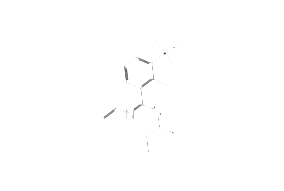 C=C/N=C(/N[C@@H](C)CC)c1cccc(C(C)(C)F)c1C